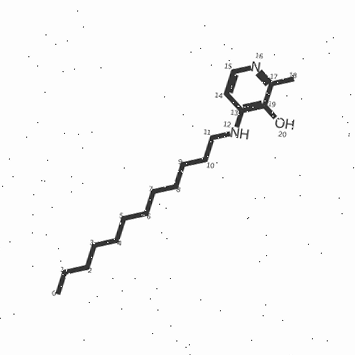 CCCCCCCCCCCCNc1ccnc(C)c1O